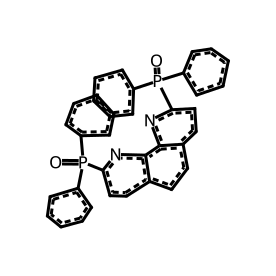 O=P(c1ccccc1)(c1ccccc1)c1ccc2ccc3ccc(P(=O)(c4ccccc4)c4ccccc4)nc3c2n1